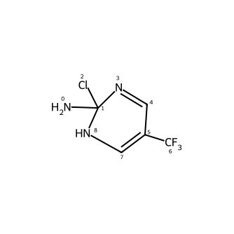 NC1(Cl)N=CC(C(F)(F)F)=CN1